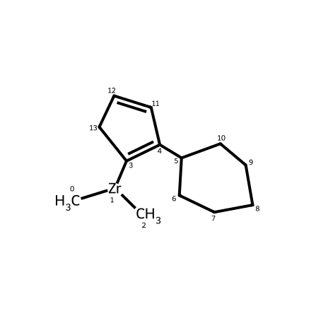 [CH3][Zr]([CH3])[C]1=C(C2CCCCC2)C=CC1